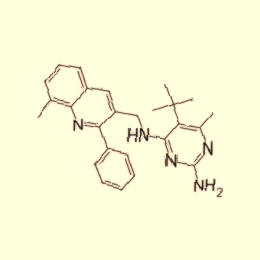 Cc1nc(N)nc(NCc2cc3cccc(C)c3nc2-c2ccccc2)c1C(C)(C)C